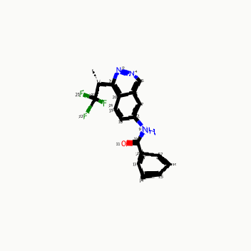 C[C@H](c1nncc2cc(NC(=O)c3ccccc3)ccc12)C(F)(F)F